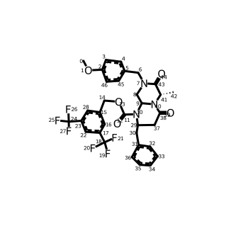 COc1ccc(CN2CC3N(C(=O)OCc4cc(C(F)(F)F)cc(C(F)(F)F)c4)C(Cc4ccccc4)CC(=O)N3[C@@H](C)C2=O)cc1